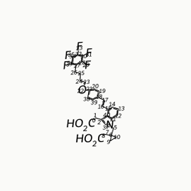 O=C(O)Cc1cn(CC2(CC(=O)O)CC2)c2cccc(C=Cc3ccc(OCCCCc4c(F)c(F)c(F)c(F)c4F)cc3)c12